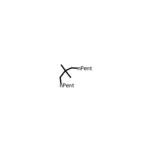 [CH2]CCCCCC(C)(C)CCCCCC